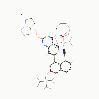 CC(C)[Si](C#Cc1c(F)ccc2cc(O[Si](C(C)C)(C(C)C)C(C)C)cc(-c3ncc4c(N5CCCCCC5)nc(OC[C@@]56CCCN5[C@H](CO)CC6)nc4c3F)c12)(C(C)C)C(C)C